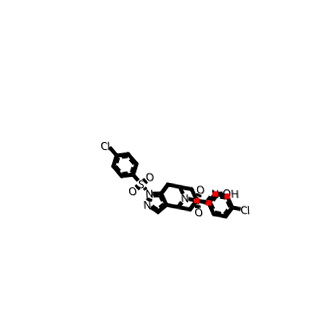 O=S(=O)(c1ccc(Cl)cc1)N1C2Cc3c(cnn3S(=O)(=O)c3ccc(Cl)cc3)C1CC(/C=N/O)C2